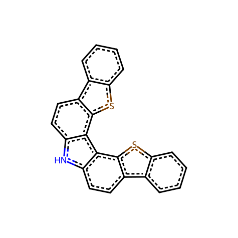 c1ccc2c(c1)sc1c2ccc2[nH]c3ccc4c5ccccc5sc4c3c21